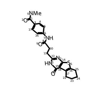 CNC(=O)c1ccc(NC(=O)CCc2nc3sc4c(c3c(=O)[nH]2)CCCC4)cc1